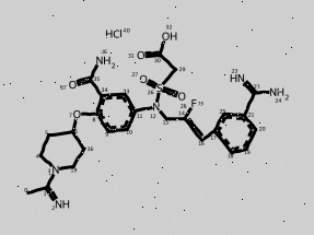 CC(=N)N1CCC(Oc2ccc(N(CC(F)=Cc3cccc(C(=N)N)c3)S(=O)(=O)CC(=O)O)cc2C(N)=O)CC1.Cl